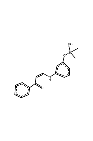 CC(C)(C)[Si](C)(C)Oc1cccc(N/C=C\C(=O)c2ccccc2)c1